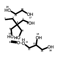 C=O.CCC(CO)(CO)CO.OCC(O)CO.OCCO